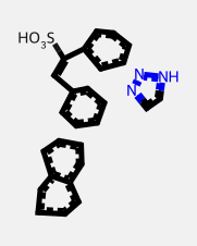 O=S(=O)(O)C(=Cc1ccccc1)c1ccccc1.c1c[nH]nn1.c1ccc2ccccc2c1